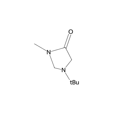 CN1CN(C(C)(C)C)CC1=O